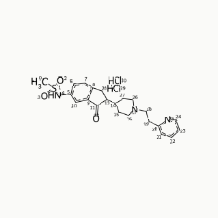 CS(=O)(=O)Nc1ccc2c(c1)C(=O)C(C1CCN(CCc3ccccn3)CC1)C2.Cl.Cl